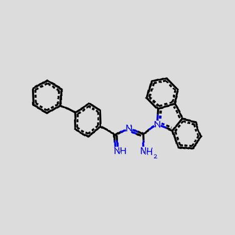 N=C(/N=C(\N)n1c2ccccc2c2ccccc21)c1ccc(-c2ccccc2)cc1